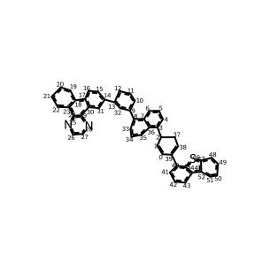 C1=CC(c2cccc3c(-c4cccc(-c5ccc6c7ccccc7c7nccnc7c6c5)c4)cccc23)CC=C1c1cccc2c1sc1ccccc12